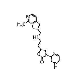 Cc1nccc2c1CC(CNCCC1CN(C3=CNCC=N3)C(=O)O1)C2